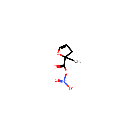 CC1(C(=O)O[N+](=O)[O-])CC=CO1